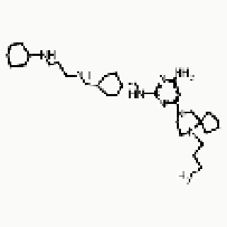 CCCCN1CCN(c2cc(N)nc(NC[C@H]3CC[C@H](CNCCCNC4CCCCC4)CC3)n2)CC12CCCC2